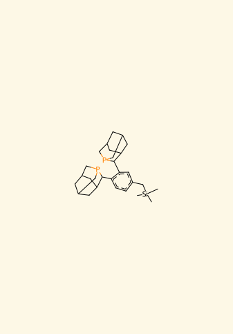 C[Si](C)(C)Cc1ccc(C2C3CC4CC(C3)CP2C4)c(C2C3CC4CC(C3)CP2C4)c1